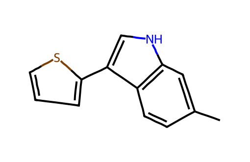 Cc1ccc2c(-c3cccs3)c[nH]c2c1